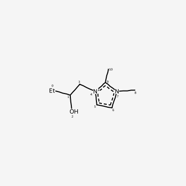 CCC(O)C[n+]1ccn(C)c1C